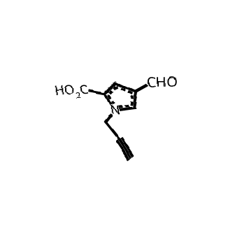 C#CCn1cc(C=O)cc1C(=O)O